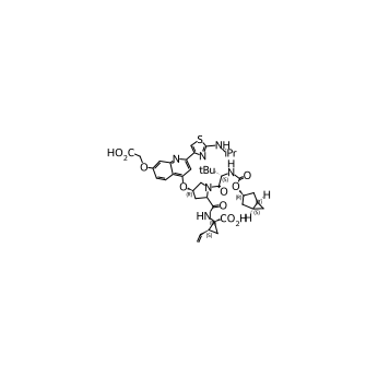 C=C[C@@H]1C[C@]1(NC(=O)C1C[C@@H](Oc2cc(-c3csc(NC(C)C)n3)nc3cc(OCC(=O)O)ccc23)CN1C(=O)[C@@H](NC(=O)O[C@@H]1C[C@@H]2C[C@@H]2C1)C(C)(C)C)C(=O)O